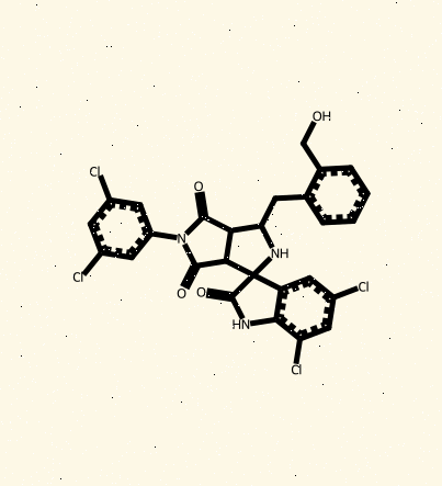 O=C1C2C(Cc3ccccc3CO)NC3(C(=O)Nc4c(Cl)cc(Cl)cc43)C2C(=O)N1c1cc(Cl)cc(Cl)c1